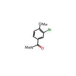 CNC(=O)c1ccc(OC)c(Br)c1